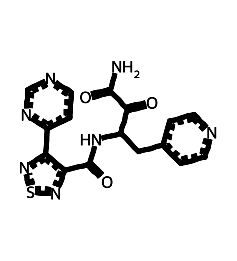 NC(=O)C(=O)C(Cc1ccncc1)NC(=O)c1nsnc1-c1ccncn1